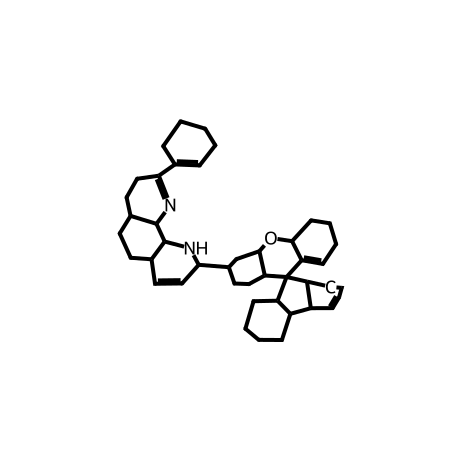 C1=CC2C3CCCCC3C3(C4=CCCCC4OC4CC(C5C=CC6CCC7CCC(C8=CCCCC8)=NC7C6N5)CCC43)C2CC1